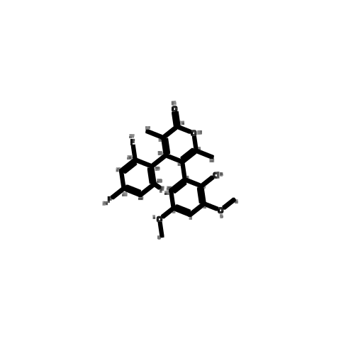 COc1cc(OC)c(Cl)c(-c2c(C)oc(=O)c(C)c2-c2c(F)cc(F)cc2F)c1